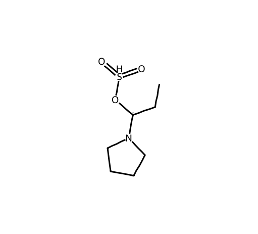 CC[C](O[SH](=O)=O)N1CCCC1